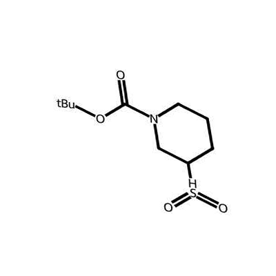 CC(C)(C)OC(=O)N1CCCC([SH](=O)=O)C1